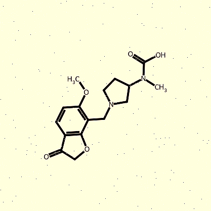 COc1ccc2c(c1CN1CCC(N(C)C(=O)O)C1)OCC2=O